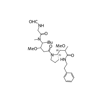 CCC(C)C(C(CC(=O)N1CCC[C@H]1[C@H](OC)C(C)C(=O)NCCc1ccccc1)OC)N(C)C(=O)CNC=O